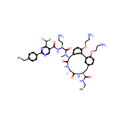 CC(C)Cc1ccc(-c2ncc(C(=O)N[C@@H](CCN)C(=O)N(C)[C@@H]3C(=O)N[C@@H](C)C(=O)N[C@H](C(=O)NCC#N)Cc4ccc(OCCN)c(c4)-c4cc3ccc4OCCN)c(C(F)F)n2)cc1